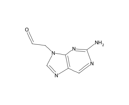 Nc1ncc2ncn(CC=O)c2n1